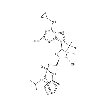 CC(C)OC(=O)[C@H](C)N[P@@](=O)(OC[C@H]1O[C@@H](n2cnc3c(NC4CC4)nc(N)nc32)[C@@](F)(C(F)(F)F)[C@@H]1O)Oc1ccccc1